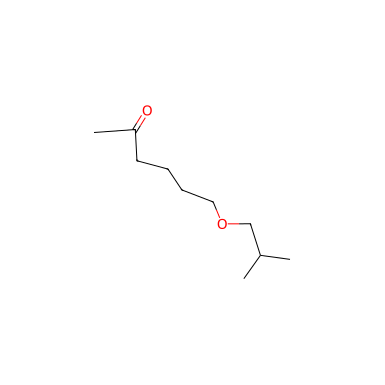 CC(=O)CCCCOCC(C)C